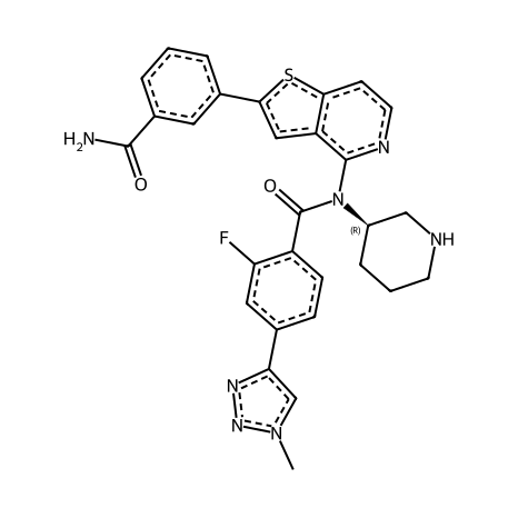 Cn1cc(-c2ccc(C(=O)N(c3nccc4sc(-c5cccc(C(N)=O)c5)cc34)[C@@H]3CCCNC3)c(F)c2)nn1